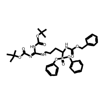 CC(C)(C)OC(=O)/N=C(/NCCCC(NC(=O)OCc1ccccc1)P(=O)(Oc1ccccc1)Oc1ccccc1)NC(=O)OC(C)(C)C